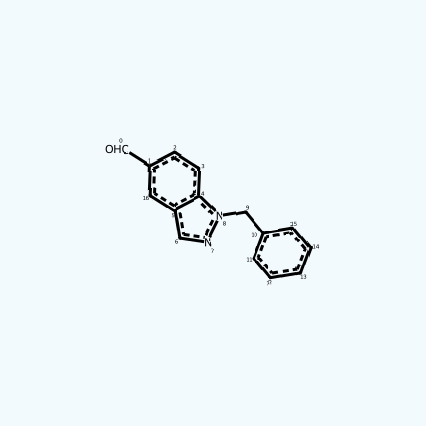 O=Cc1ccc2c(cnn2Cc2ccccc2)c1